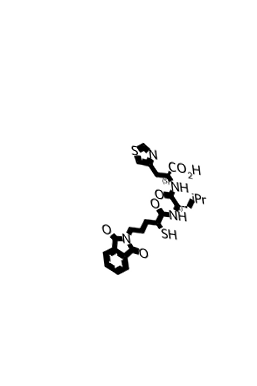 CC(C)C[C@H](NC(=O)C(S)CCCN1C(=O)c2ccccc2C1=O)C(=O)N[C@@H](Cc1cscn1)C(=O)O